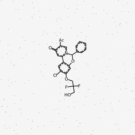 CC(=O)c1cn2c(cc1=O)-c1cc(Cl)c(OCC(F)(F)CO)cc1OC2c1ccccc1